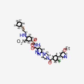 CCOc1cncc(-c2ccc(C(=O)N3CCN(c4ccc(C(=O)NS(=O)(=O)c5ccc(NCCSc6ccccc6)c([N+](=O)[O-])c5)nn4)CC3)cc2F)c1